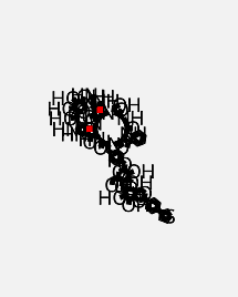 CC(c1ccccc1)C1NC(=O)CNC(=O)C(CO)NC(=O)C(C(O)C2CNC(=N)N2C2OC(CO)C(O)C(O)C2O)NC(=O)C(C(O)C2CNC(=N)N2)NC(=O)C(Cc2ccc(OC3OC(CO)C(OC4OC5COC(c6ccc(-c7ccsc7)cc6)OC5C(O)C4O)C(O)C3O)cc2)NC1=O